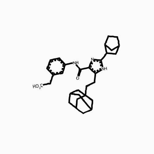 O=C(O)Cc1cccc(NC(=O)c2nc(C3CC4CCC3C4)[nH]c2CCC23CC4CC(CC(C4)C2)C3)c1